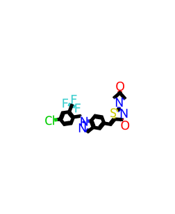 O=C1CN(C2=NC(=O)/C(=C/c3ccc4c(cnn4Cc4ccc(Cl)cc4C(F)(F)F)c3)S2)C1